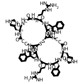 N=C(N)NCCC[C@@H]1NC(=O)[C@@H](Cc2ccccc2)NC(=O)[C@H](Cc2c[nH]cn2)NC(=O)CCNC(=O)C2NC(=O)[C@H](Cc3c[nH]c4ccccc34)NC(=O)[C@@H](CCCNC(=N)N)NC(=O)CNC(=O)[C@H](Cc3c[nH]cn3)NC(=O)CCNC(=O)C(NC(=O)[C@H](Cc3c[nH]c4ccccc34)NC1=O)SS2